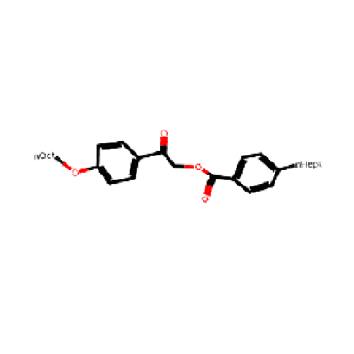 CCCCCCCCOc1ccc(C(=O)COC(=O)c2ccc(CCCCCCC)cc2)cc1